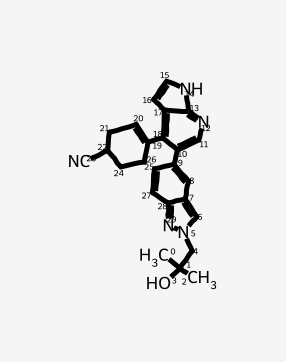 CC(C)(O)Cn1cc2cc(-c3cnc4[nH]ccc4c3C3=CCC(C#N)CC3)ccc2n1